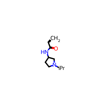 C=CC(=O)NC1CCN(C(C)C)C1